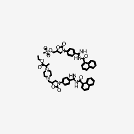 CCOC(=O)C(C)N1CCN(CC2CN(c3ccc(C(=N)NC(=O)c4cccc5ccccc45)cc3)C(=O)O2)CC1.CS(=O)(=O)OCC1CN(c2ccc(C(=N)NC(=O)c3cccc4ccccc34)cc2)C(=O)O1